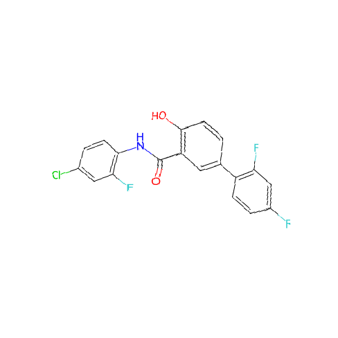 O=C(Nc1ccc(Cl)cc1F)c1cc(-c2ccc(F)cc2F)ccc1O